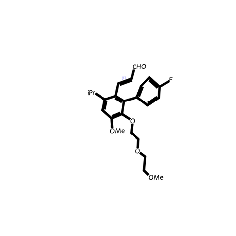 COCCOCCOc1c(OC)cc(C(C)C)c(/C=C/C=O)c1-c1ccc(F)cc1